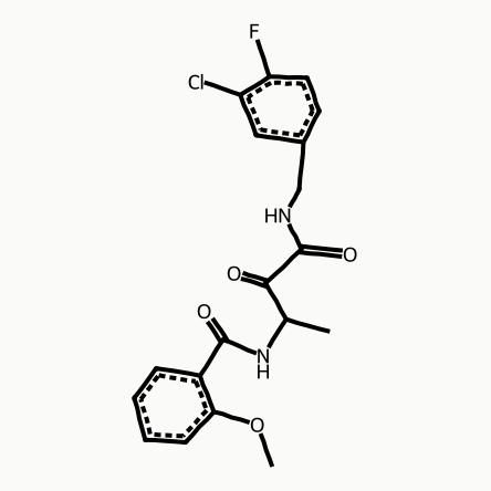 COc1ccccc1C(=O)NC(C)C(=O)C(=O)NCc1ccc(F)c(Cl)c1